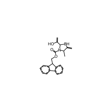 C=C1BC(C(=C)O)N(C(=O)OCC2c3ccccc3-c3ccccc32)C1C